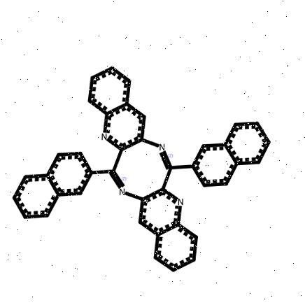 c1ccc2cc(/C3=N/c4cc5ccccc5nc4/C(c4ccc5ccccc5c4)=N\c4cc5ccccc5nc43)ccc2c1